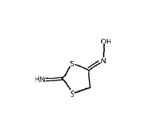 N=C1SC/C(=N/O)S1